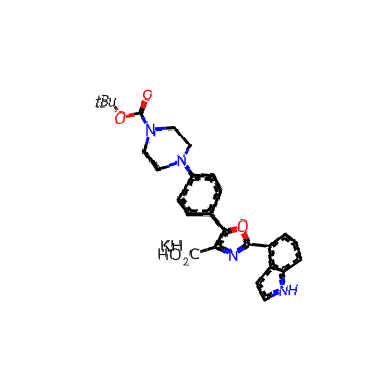 CC(C)(C)OC(=O)N1CCN(c2ccc(-c3oc(-c4cccc5[nH]ccc45)nc3C(=O)O)cc2)CC1.[KH]